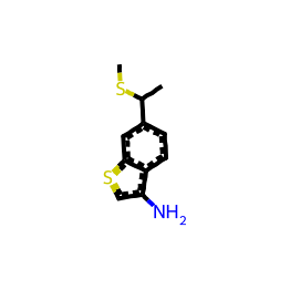 CSC(C)c1ccc2c(N)csc2c1